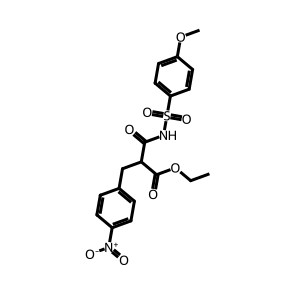 CCOC(=O)C(Cc1ccc([N+](=O)[O-])cc1)C(=O)NS(=O)(=O)c1ccc(OC)cc1